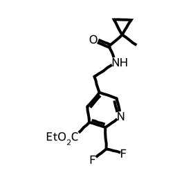 CCOC(=O)c1cc(CNC(=O)C2(C)CC2)cnc1C(F)F